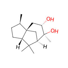 C[C@@H]1CC[C@H]2C(C)(C)[C@H]3C[C@@]12C[C@H](O)[C@@]3(C)O